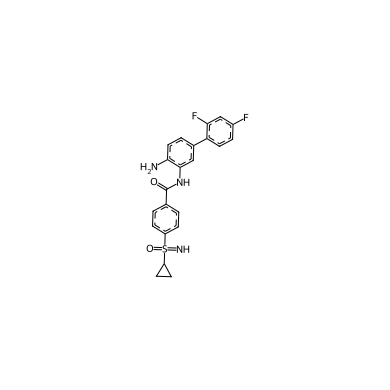 N=S(=O)(c1ccc(C(=O)Nc2cc(-c3ccc(F)cc3F)ccc2N)cc1)C1CC1